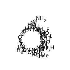 COc1ccc(C[C@@H]2NC(=O)[C@H](Cc3cnc[nH]3)NC(=O)[C@H](CC(=O)O)NC(=O)[C@H](Cc3c[nH]c4ccc(F)cc34)NC(=O)[C@H](Cc3c[nH]c4ccc(F)cc34)NC(=O)[C@@H](C)NC(=O)[C@H](CNC(=O)COCCN)NC(=O)CCSCc3cccc(c3)CSCCNC(=O)[C@]3(C)CCCN3C2=O)cc1